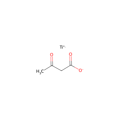 CC(=O)CC(=O)[O-].[Ti+]